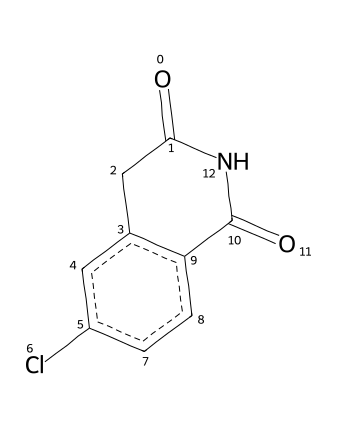 O=C1Cc2cc(Cl)ccc2C(=O)N1